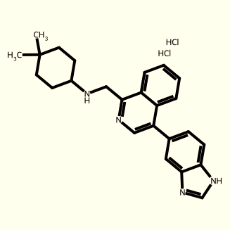 CC1(C)CCC(NCc2ncc(-c3ccc4[nH]cnc4c3)c3ccccc23)CC1.Cl.Cl